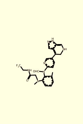 Cc1cccc(N(C)CC(=O)NCC(F)(F)F)c1N(C=O)c1ccc(C2=c3cn[nH]c3=CNC2)cn1